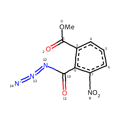 COC(=O)c1cccc([N+](=O)[O-])c1C(=O)N=[N+]=[N-]